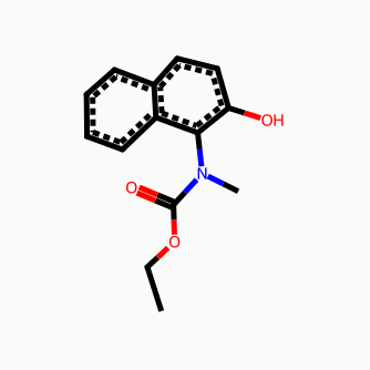 CCOC(=O)N(C)c1c(O)ccc2ccccc12